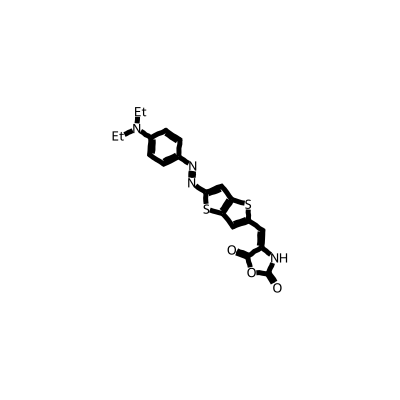 CCN(CC)c1ccc(/N=N/c2cc3sc(/C=C4/NC(=O)OC4=O)cc3s2)cc1